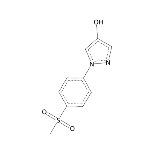 CS(=O)(=O)c1ccc(-n2cc(O)cn2)cc1